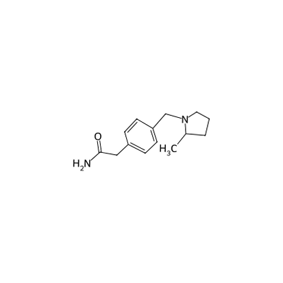 CC1CCCN1Cc1ccc(CC(N)=O)cc1